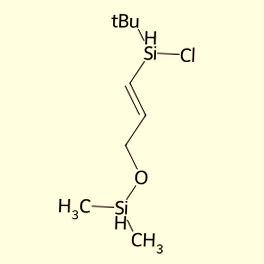 C[SiH](C)OCC=C[SiH](Cl)C(C)(C)C